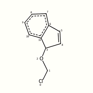 ClCOC1C=[C]c2ccccc21